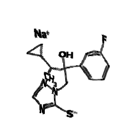 CC(C1CC1)C(O)(Cn1ncnc1[S-])c1cccc(F)c1.[Na+]